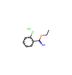 CCOC(=N)c1ccccc1Cl.Cl